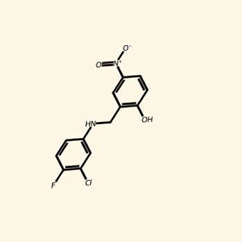 O=[N+]([O-])c1ccc(O)c(CNc2ccc(F)c(Cl)c2)c1